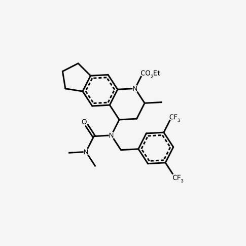 CCOC(=O)N1c2cc3c(cc2C(N(Cc2cc(C(F)(F)F)cc(C(F)(F)F)c2)C(=O)N(C)C)CC1C)CCC3